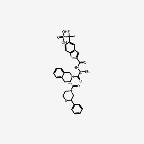 CC(C)(C)[C@H](NC(=O)c1cc2cc(C(F)(F)P(=O)(O)O)ccc2s1)C(=O)N1Cc2ccccc2C[C@H]1C(=O)N1CCSC(c2ccccc2)C1